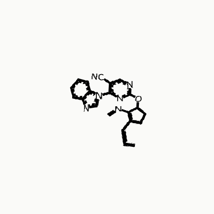 C=NC1=C(/C=C\C)CCC1Oc1ncc(C#N)c(-n2cnc3ccccc32)n1